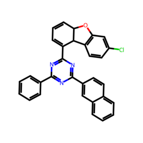 Clc1ccc2c(c1)OC1C=CC=C(c3nc(-c4ccccc4)nc(-c4ccc5ccccc5c4)n3)C21